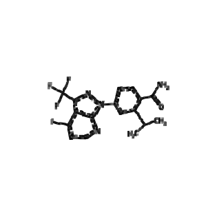 CC(C)c1cc(-n2nc(C(F)(F)F)c3c(I)ccnc32)ccc1C(N)=O